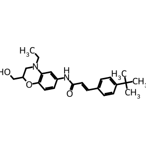 CCN1CC(CO)Oc2ccc(NC(=O)/C=C/c3ccc(C(C)(C)C)cc3)cc21